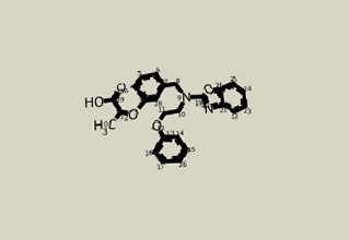 CC(Oc1cccc(CN(CCOc2ccccc2)c2nc3ccccc3o2)c1)C(=O)O